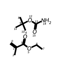 C=C(C)C(=O)OCC.CC(C)(C)OC(N)=O